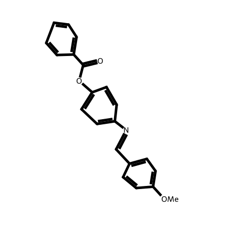 COc1ccc(C=Nc2ccc(OC(=O)c3ccccc3)cc2)cc1